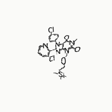 Cn1c(=O)c2c(nc(-c3ncccc3Cl)n2-c2ccc(Cl)cc2)n(COCC[Si](C)(C)C)c1=O